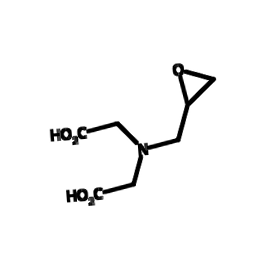 O=C(O)CN(CC(=O)O)CC1CO1